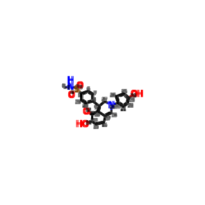 CNS(=O)(=O)c1ccc(C2=C3C(=O)C(O)C=CC3=CN(c3ccc(O)cc3)C2)cc1